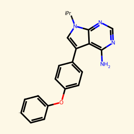 CC(C)n1cc(-c2ccc(Oc3cc[c]cc3)cc2)c2c(N)ncnc21